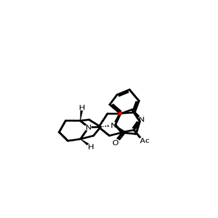 CC(=O)c1nc2ccccc2n([C@H]2C[C@H]3CCC[C@@H](C2)N3C2CC3CCCC(C3)C2)c1=O